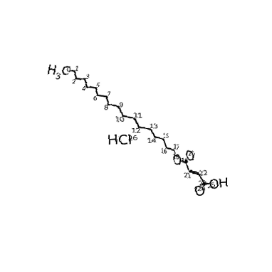 CCCCCCCCCCCCCCCCCCOC(=O)C=CC(=O)O.Cl